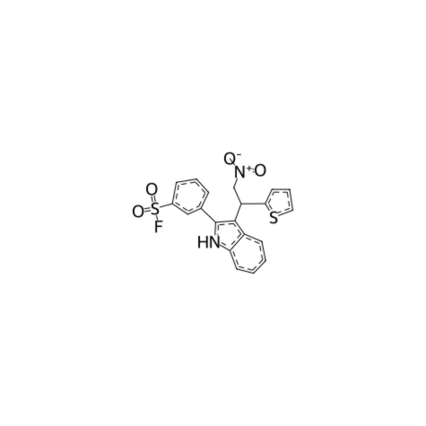 O=[N+]([O-])CC(c1cccs1)c1c(-c2cccc(S(=O)(=O)F)c2)[nH]c2ccccc12